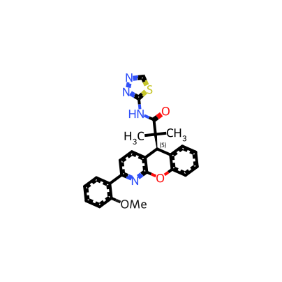 COc1ccccc1-c1ccc2c(n1)Oc1ccccc1[C@@H]2C(C)(C)C(=O)Nc1nncs1